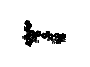 CCCCCCC(CC)C1(C(CC)CCCCC)c2ccccc2-c2ccc(-c3ccc4c(c3)C(C)(C)c3cc(-c5ccc6c(c5)C(CC(CC)CCCC)(C(CC)CCCCC)c5c-6cc6c7c8c(ncc7n7c9cnc%10c(c9c5c67)C5CC6CC7CC%10C67C5)C5CC6CC8CC5C6)ccc3-4)cc21